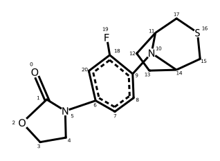 O=C1OCCN1c1ccc(N2C3CCC2CSC3)c(F)c1